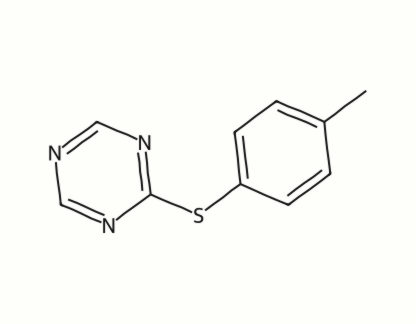 Cc1ccc(Sc2ncncn2)cc1